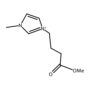 COC(=O)CCC[n+]1ccn(C)c1